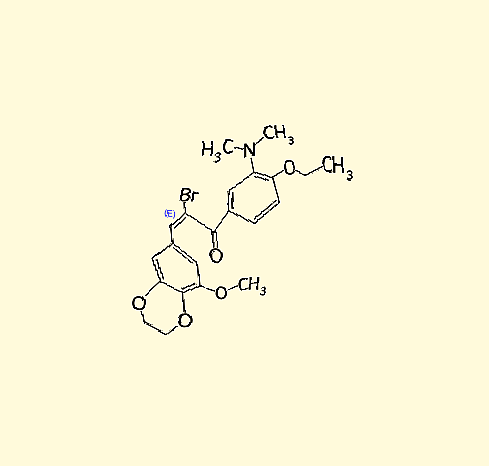 CCOc1ccc(C(=O)/C(Br)=C\c2cc(OC)c3c(c2)OCCO3)cc1N(C)C